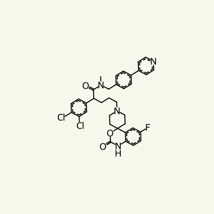 CN(Cc1ccc(-c2ccncc2)cc1)C(=O)C(CCCN1CCC2(CC1)OC(=O)Nc1ccc(F)cc12)c1ccc(Cl)c(Cl)c1